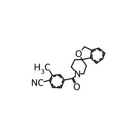 Cc1cc(C(=O)N2CCC3(CC2)OCc2ccccc23)ccc1C#N